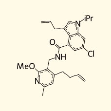 C=CCCc1cc(C)nc(OC)c1CNC(=O)c1cc(Cl)cc2c1c(CC=C)cn2C(C)C